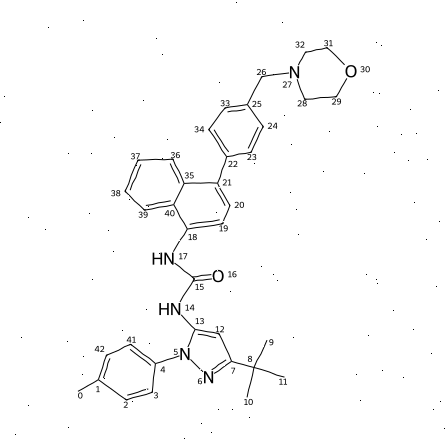 Cc1ccc(-n2nc(C(C)(C)C)cc2NC(=O)Nc2ccc(-c3ccc(CN4CCOCC4)cc3)c3ccccc23)cc1